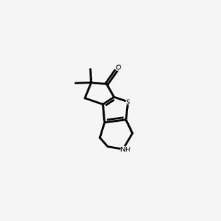 CC1(C)Cc2c(sc3c2CCNC3)C1=O